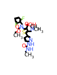 CCNC(=O)Nc1ccc(-c2sc(N(Cc3c(F)cccc3F)C(=O)OCC)c(C(=O)O)c2CN(C)C)cn1